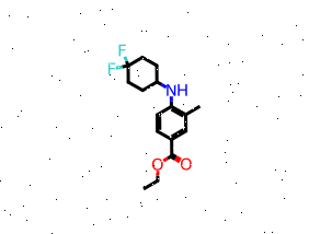 CCOC(=O)c1ccc(NC2CCC(F)(F)CC2)c(C)c1